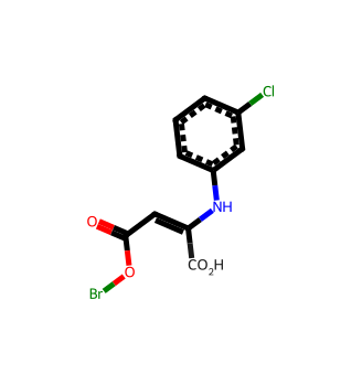 O=C(C=C(Nc1cccc(Cl)c1)C(=O)O)OBr